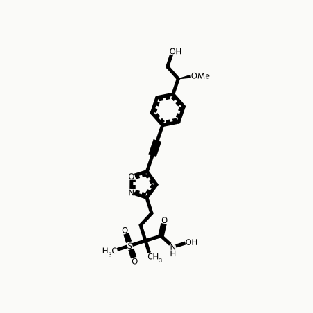 CO[C@H](CO)c1ccc(C#Cc2cc(CCC(C)(C(=O)NO)S(C)(=O)=O)no2)cc1